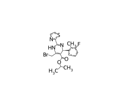 Cc1c(F)cccc1[C@@H]1N=C(c2nccs2)NC(CBr)=C1C(=O)OC(C)C